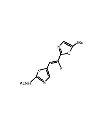 CC(=O)Nc1ncc(C=C(F)c2ncc(C(C)(C)C)o2)s1